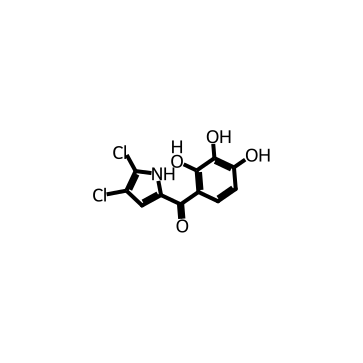 O=C(c1cc(Cl)c(Cl)[nH]1)c1ccc(O)c(O)c1O